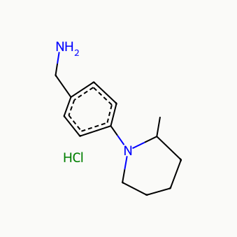 CC1CCCCN1c1ccc(CN)cc1.Cl